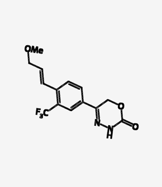 COCC=Cc1ccc(C2=NNC(=O)OC2)cc1C(F)(F)F